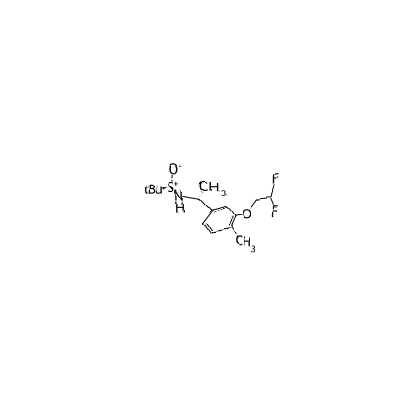 Cc1ccc([C@@H](C)N[S@+]([O-])C(C)(C)C)cc1OCC(F)F